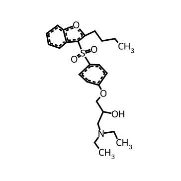 CCCCc1oc2ccccc2c1S(=O)(=O)c1ccc(OCC(O)CN(CC)CC)cc1